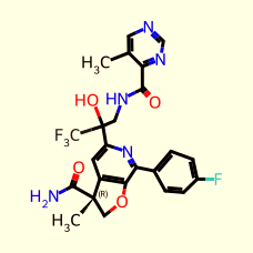 Cc1cncnc1C(=O)NCC(O)(c1cc2c(c(-c3ccc(F)cc3)n1)OC[C@]2(C)C(N)=O)C(F)(F)F